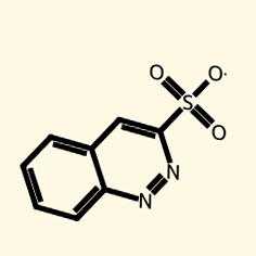 [O]S(=O)(=O)c1cc2ccccc2nn1